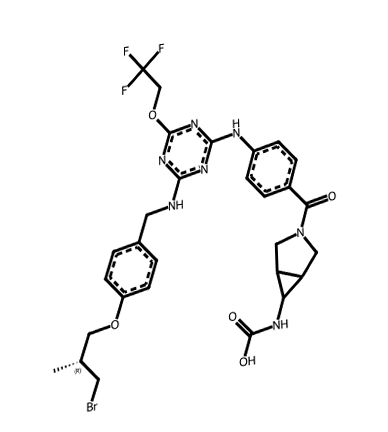 C[C@@H](CBr)COc1ccc(CNc2nc(Nc3ccc(C(=O)N4CC5C(C4)C5NC(=O)O)cc3)nc(OCC(F)(F)F)n2)cc1